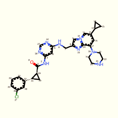 O=C(Nc1cc(NCc2cn3cc(C4CC4)cc(N4CCNCC4)c3n2)ncn1)[C@H]1C[C@@H]1c1cccc(Cl)c1